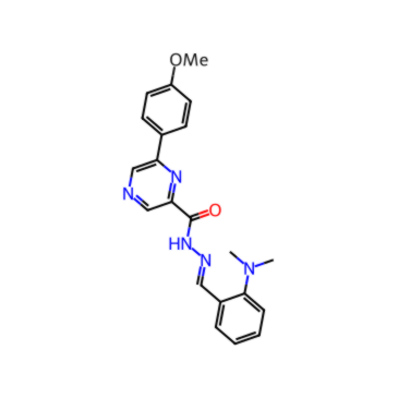 COc1ccc(-c2cncc(C(=O)N/N=C/c3ccccc3N(C)C)n2)cc1